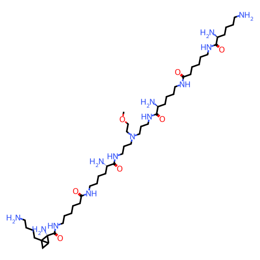 COCCN(CCCNC(=O)[C@@H](N)CCCCNC(=O)CCCCCNC(=O)[C@@H](N)CCCCN)CCCNC(=O)[C@@H](N)CCCCNC(=O)CCCCCNC(=O)[C@@]1(N)C2CC21CCCCN